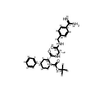 C[C@H](NC(=O)[C@H]1C[C@@H](c2ccccc2)CCN1C(=O)OC(C)(C)C)C(=O)NCc1ccc(C(=N)N)cc1